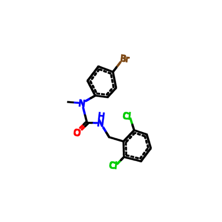 CN(C(=O)NCc1c(Cl)cccc1Cl)c1ccc(Br)cc1